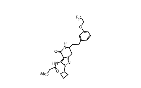 CSCC(=O)Nc1c2c(nn1C1CCC1)CC(CCc1cccc(OCC(F)(F)F)c1)NC2=O